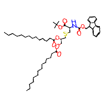 CCCCCCCCCCCCCC(=O)OC[C@H](CSC[C@H](NC(=O)OCC1c2ccccc2-c2ccccc21)C(=O)OC(C)(C)C)OC(=O)CCCCCCCCCCCCC